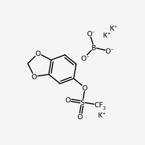 O=S(=O)(Oc1ccc2c(c1)OCO2)C(F)(F)F.[K+].[K+].[K+].[O-]B([O-])[O-]